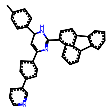 Cc1ccc(C2C=C(c3ccc(-c4cccnc4)cc3)N=C(c3ccc4c5c(cccc35)-c3ccccc3-4)N2)cc1